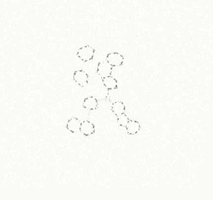 c1ccc(-c2c(-c3ccccc3)c3cc(N(c4cccc(-c5cccc6ccccc56)c4)c4ccc5c(c4)sc4ccccc45)ccc3c3ccccc23)cc1